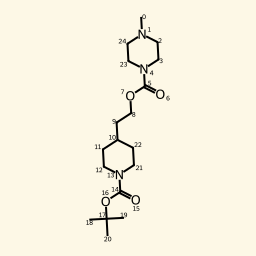 CN1CCN(C(=O)OCCC2CCN(C(=O)OC(C)(C)C)CC2)CC1